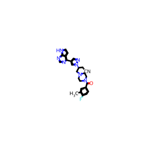 Cc1cc(C(=O)N2CCN(CC(CC#N)n3cc(-c4ncnc5[nH]ccc45)cn3)CC2)ccc1F